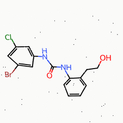 O=C(Nc1cc(Cl)cc(Br)c1)Nc1ccccc1CCO